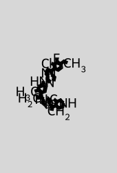 C=C(c1ccc(Nc2nccn3c(-c4ccc(CC)c(F)c4Cl)cnc23)cc1C)N1CCN(C(=C)C2CCNCC2C)CC1